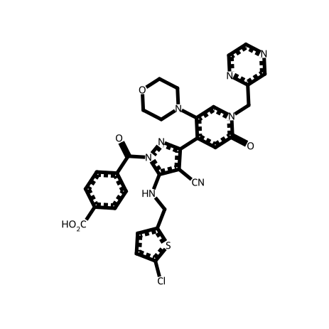 N#Cc1c(-c2cc(=O)n(Cc3cnccn3)cc2N2CCOCC2)nn(C(=O)c2ccc(C(=O)O)cc2)c1NCc1ccc(Cl)s1